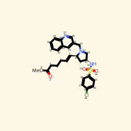 COC(=O)CCCC=C[C@@H]1C[C@@H](NS(=O)(=O)c2ccc(Cl)cc2)CN1Cc1cnc2ccccc2c1